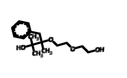 CC(C)(O)C(C)(Cc1ccccc1)OCCOCCO